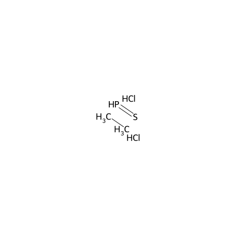 CC.Cl.Cl.P=S